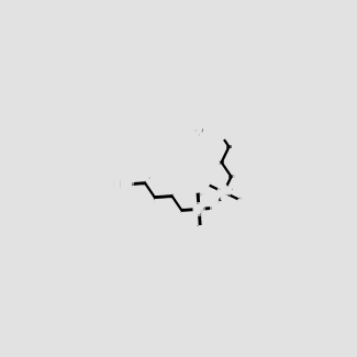 COCCC[Si](C)(C)O[Si](C)(C)CCCCO